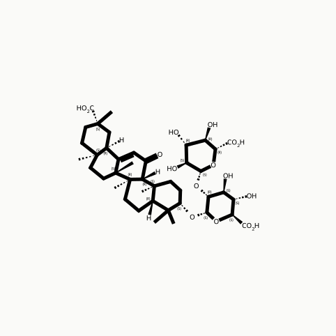 CC1(C)[C@@H](O[C@H]2O[C@H](C(=O)O)[C@@H](O)[C@H](O)[C@H]2O[C@H]2O[C@@H](C(=O)O)[C@H](O)[C@@H](O)[C@@H]2O)CC[C@]2(C)[C@H]3C(=O)C=C4[C@@H]5C[C@@](C)(C(=O)O)CC[C@]5(C)CC[C@@]4(C)[C@]3(C)CC[C@@H]12